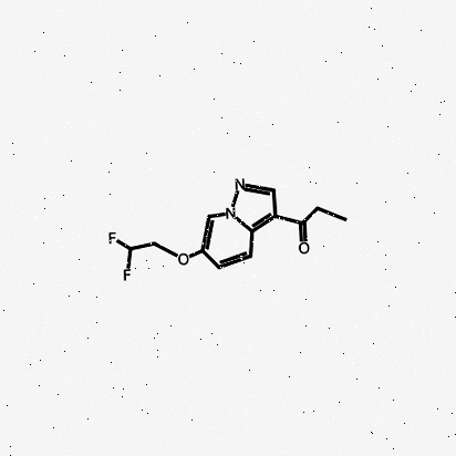 CCC(=O)c1cnn2cc(OCC(F)F)ccc12